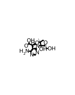 C[C@]1(O)CO[C@H](CO)[C@@]1(O)n1cc(C(=O)O)c2c(N)ncnc21